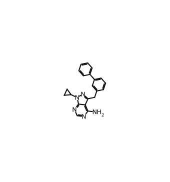 Nc1ncnc2c1c(Cc1cccc(-c3ccccc3)c1)nn2C1CC1